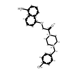 Nc1cccc2c(OCC(=O)N3CCN(Cc4ccc(Cl)cc4)CC3)cccc12